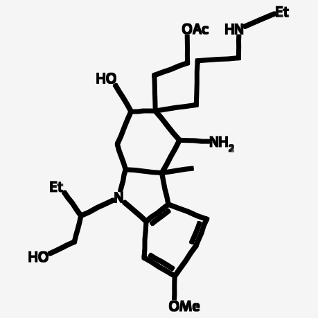 CCNCCCC1(CCOC(C)=O)C(O)CC2N(C(CC)CO)c3cc(OC)ccc3C2(C)C1N